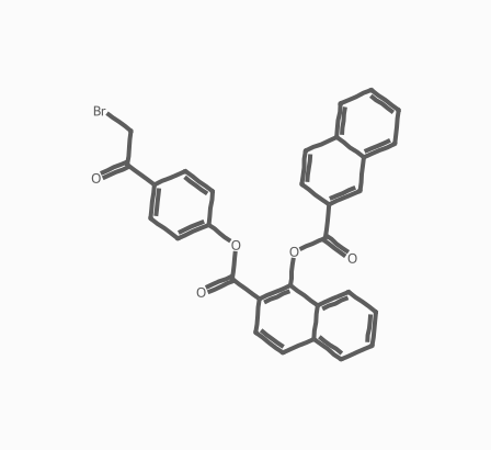 O=C(CBr)c1ccc(OC(=O)c2ccc3ccccc3c2OC(=O)c2ccc3ccccc3c2)cc1